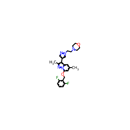 Cc1cc(OCc2c(F)cccc2F)n2nc(C)c(-c3cnn(CCN4CCOCC4)c3)c2c1